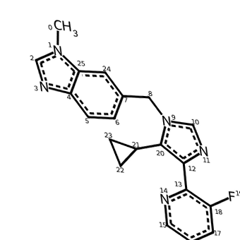 Cn1cnc2ccc(Cn3cnc(-c4ncccc4F)c3C3CC3)cc21